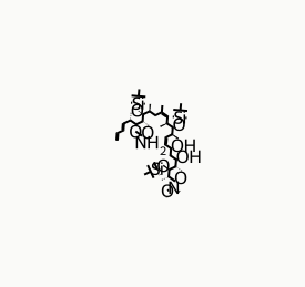 C=C/C=C/[C@H](C)[C@H](OC(N)=O)[C@@H](C)[C@H](O[Si](C)(C)C(C)(C)C)[C@@H](C)C/C(C)=C\[C@H](C)[C@@H](O[Si](C)(C)C(C)(C)C)[C@@H](C)/C=C\[C@@H](O)C[C@H](O)[C@H](C)[C@H](O[Si](C)(C)C(C)(C)C)[C@@H](C)C(=O)N(C)OC